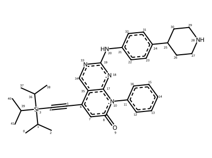 CC(C)[Si](C#Cc1cc(=O)n(-c2ccccc2)c2nc(Nc3ccc(C4CCNCC4)cc3)ncc12)(C(C)C)C(C)C